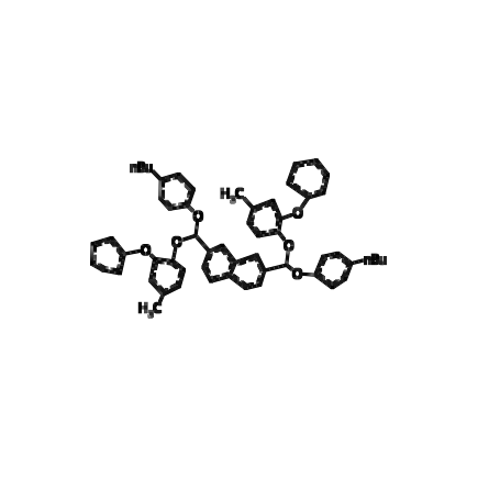 CCCCc1ccc(OC(Oc2ccc(C)cc2Oc2ccccc2)c2ccc3ccc(C(Oc4ccc(CCCC)cc4)Oc4ccc(C)cc4Oc4ccccc4)cc3c2)cc1